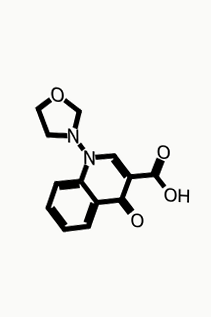 O=C(O)c1cn(N2CCOC2)c2ccccc2c1=O